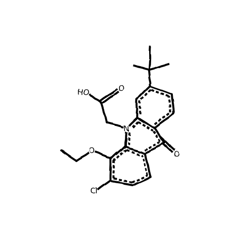 CCOc1c(Cl)ccc2c(=O)c3ccc(C(C)(C)C)cc3n(CC(=O)O)c12